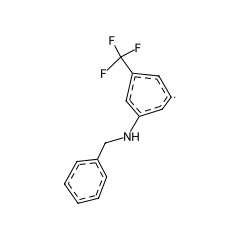 FC(F)(F)c1c[c]cc(NCc2ccccc2)c1